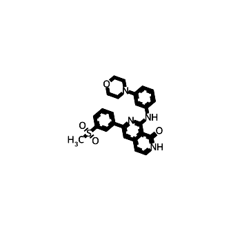 CS(=O)(=O)c1cccc(-c2cc3cc[nH]c(=O)c3c(Nc3cccc(N4CCOCC4)c3)n2)c1